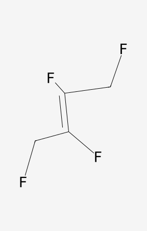 FC/C(F)=C(\F)CF